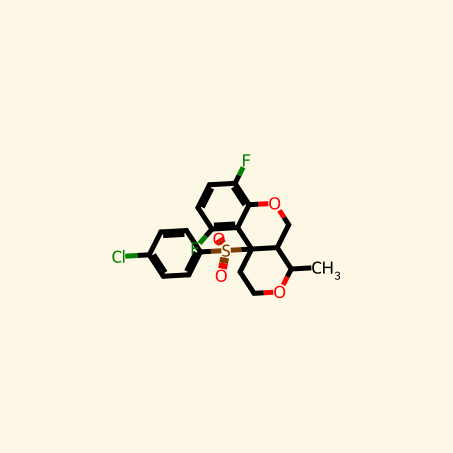 CC1OCCC2(S(=O)(=O)c3ccc(Cl)cc3)c3c(F)ccc(F)c3OCC12